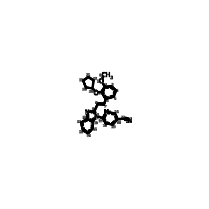 COc1cccc(C=Cc2nc3ccccc3n2-c2ccc(C#N)cn2)c1OC1CCCC1